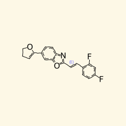 Fc1ccc(/C=C/c2nc3ccc(C4=CCCO4)cc3o2)c(F)c1